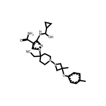 Cc1ccc(OC2(C)CN(N3CCC(CC#N)(n4cc(C(N)=O)c(NC(O)C5CC5)n4)CC3)C2)cc1